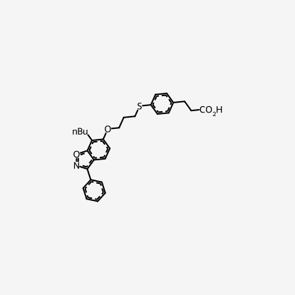 CCCCc1c(OCCCSc2ccc(CCC(=O)O)cc2)ccc2c(-c3ccccc3)noc12